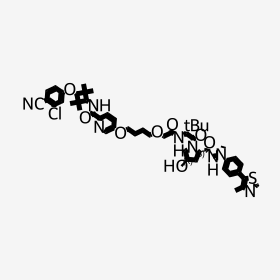 Cc1ncsc1-c1ccc(N(C)NC(=O)[C@@H]2C[C@@H](O)CN2C(=O)C(NC(=O)COCCCCOc2ccc(C(=O)NC3C(C)(C)C(Oc4ccc(C#N)c(Cl)c4)C3(C)C)nc2)C(C)(C)C)cc1